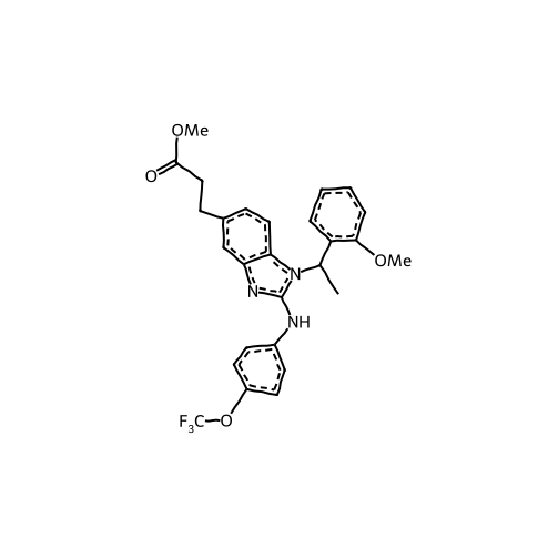 COC(=O)CCc1ccc2c(c1)nc(Nc1ccc(OC(F)(F)F)cc1)n2C(C)c1ccccc1OC